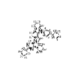 c1ccc(-c2ccc(-n3c4ccccc4c4ccc5c(ccn5-c5cnc(-c6ccccc6)nc5-c5ccccc5)c43)cc2)cc1